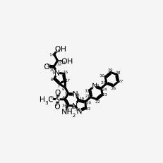 CS(=O)(=O)c1c(C2c3cn(C(=O)[C@H](O)CO)cc32)nc2c(-c3ccc(-c4ccccc4)nc3)cnn2c1N